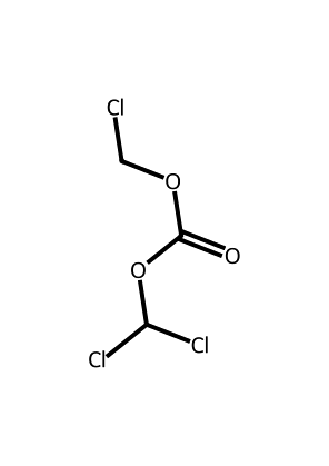 O=C(OCCl)OC(Cl)Cl